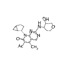 CC(=O)c1c(C)c2cnc(NC3CCOCC3O)nc2n(C2CCC3CC32)c1=O